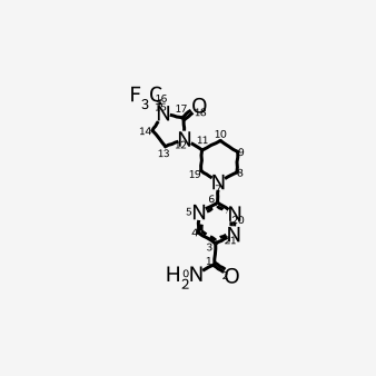 NC(=O)c1cnc(N2CCCC(N3CCN(C(F)(F)F)C3=O)C2)nn1